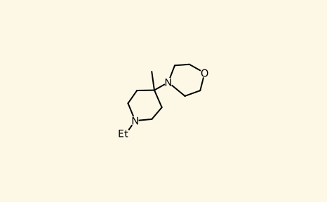 CCN1CCC(C)(N2CCOCC2)CC1